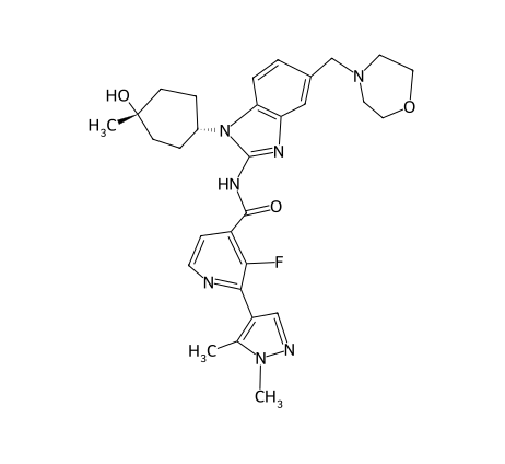 Cc1c(-c2nccc(C(=O)Nc3nc4cc(CN5CCOCC5)ccc4n3[C@H]3CC[C@@](C)(O)CC3)c2F)cnn1C